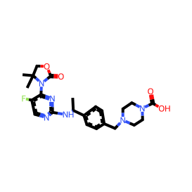 CC(Nc1ncc(F)c(N2C(=O)OCC2(C)C)n1)c1ccc(CN2CCN(C(=O)O)CC2)cc1